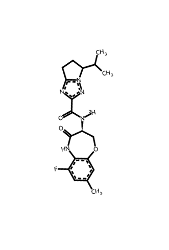 [2H]N(C(=O)c1nc2n(n1)C(C(C)C)CC2)[C@H]1COc2cc(C)cc(F)c2NC1=O